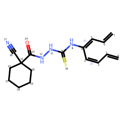 C=C/C=C\C(=C/C=C)NC(=S)NNC(=O)C1(C#N)CCCCC1